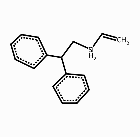 C=C[SiH2]CC(c1ccccc1)c1ccccc1